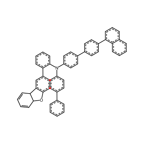 C1=CC2Oc3ccc(-c4ccccc4N(c4ccc(-c5ccccc5)cc4)c4ccc(-c5ccc(-c6cccc7ccccc67)cc5)cc4)cc3C2C=C1